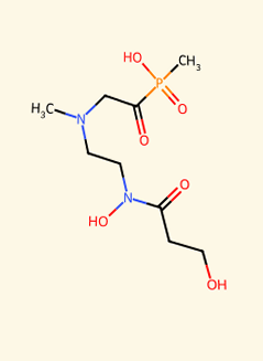 CN(CCN(O)C(=O)CCO)CC(=O)P(C)(=O)O